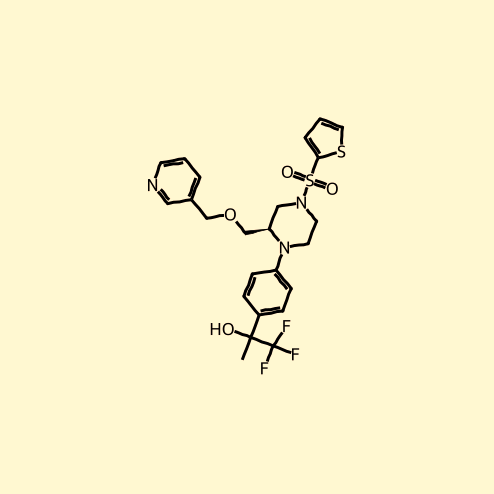 CC(O)(c1ccc(N2CCN(S(=O)(=O)c3cccs3)C[C@@H]2COCc2cccnc2)cc1)C(F)(F)F